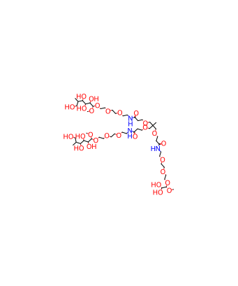 COC(OCCOCCOCCNC(=O)CCOCC(C)(COCCC(=O)NCCOCCOCCOC(OC)C(O)C(O)C(O)C(C)CO)COCCC(=O)NCCOCCOCCOC(OC)C(O)C(O)C(O)C(C)CO)C(O)O